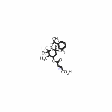 CCC1(C)CC(OC(=O)/C=C/C(=O)O)C(C)C(C)(CC)N1OC(C)c1ccccc1